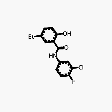 CCc1ccc(O)c(C(=O)Nc2ccc(F)c(Cl)c2)c1